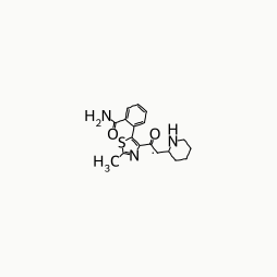 Cc1nc(C(=O)[CH]C2CCCCN2)c(-c2ccccc2C(N)=O)s1